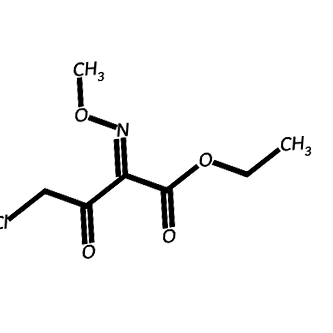 CCOC(=O)C(=NOC)C(=O)CCl